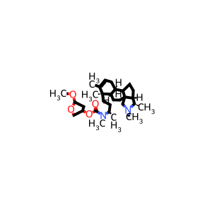 COC1CC(OC(=O)N(C)[C@H](C)CC[C@@]2(C)C(C)=CC[C@H]3[C@@H]4CC[C@@H]5[C@H](C)N(C)CC54CC[C@@H]32)CO1